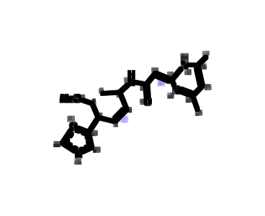 COCC(/C=C\C(C)NC(=O)/C=C1\N=C(C)C=C(C)N1)c1cnco1